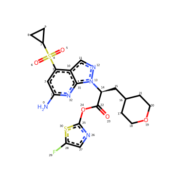 Nc1cc(S(=O)(=O)C2CC2)c2cnn([C@@H](CC3CCOCC3)C(=O)Oc3ncc(F)s3)c2n1